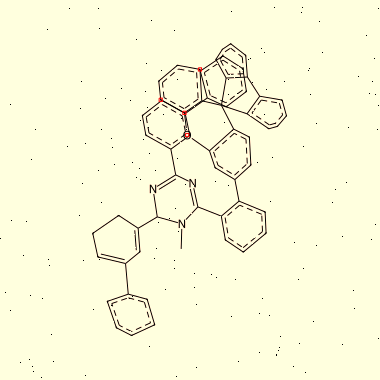 CN1C(c2ccccc2-c2ccc3c(c2)Oc2ccccc2C32c3ccccc3-c3ccccc32)=NC(c2cccc(-c3ccccc3)c2)=NC1C1=CC(c2ccccc2)=CCC1